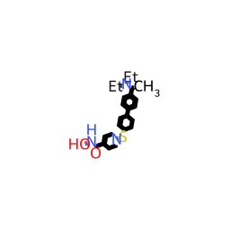 CCN(CC)C(C)c1ccc(C2C=CC(SN3CC=C(C(=O)NO)CC3)CC2)cc1